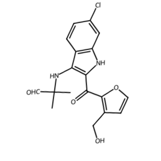 CC(C)(C=O)Nc1c(C(=O)c2occc2CO)[nH]c2cc(Cl)ccc12